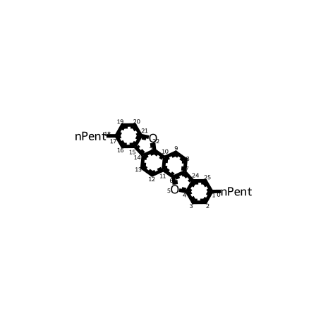 CCCCCc1ccc2oc3c(ccc4c3ccc3c5cc(CCCCC)ccc5oc34)c2c1